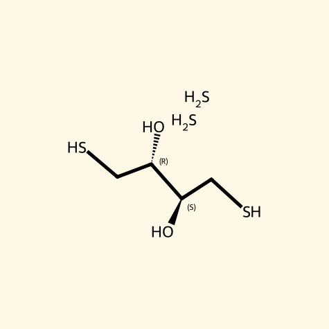 O[C@H](CS)[C@@H](O)CS.S.S